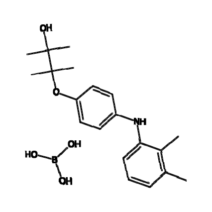 Cc1cccc(Nc2ccc(OC(C)(C)C(C)(C)O)cc2)c1C.OB(O)O